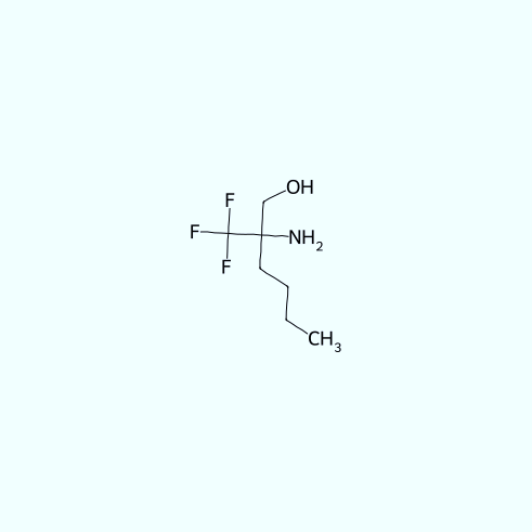 CCCCC(N)(CO)C(F)(F)F